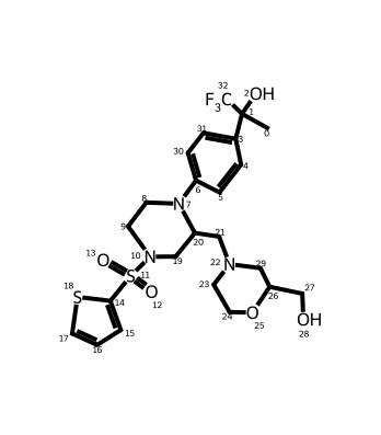 CC(O)(c1ccc(N2CCN(S(=O)(=O)c3cccs3)CC2CN2CCOC(CO)C2)cc1)C(F)(F)F